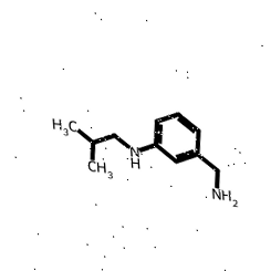 CC(C)CNc1cccc(CN)c1